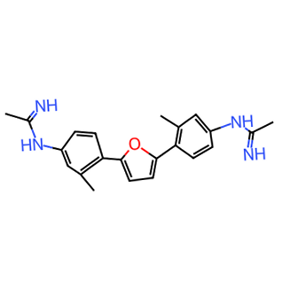 CC(=N)Nc1ccc(-c2ccc(-c3ccc(NC(C)=N)cc3C)o2)c(C)c1